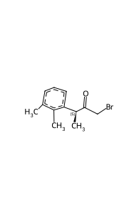 Cc1cccc([C@H](C)C(=O)CBr)c1C